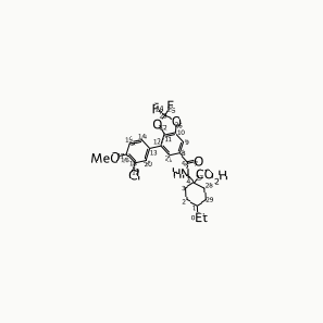 CCC1CCC(NC(=O)c2cc3c(c(-c4ccc(OC)c(Cl)c4)c2)OC(F)(F)O3)(C(=O)O)CC1